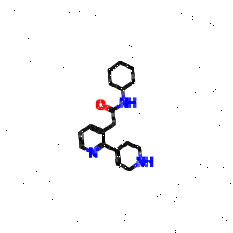 O=C(Cc1cccnc1C1=CCNCC1)NC1CCCCC1